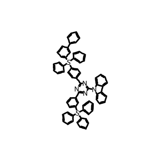 c1ccc(-c2cccc(S(c3ccccc3)(c3ccccc3)c3ccc(-c4nc(-c5cccc(S(c6ccccc6)(c6ccccc6)c6ccccc6)c5)nc(-n5c6ccccc6c6ccccc65)n4)cc3)c2)cc1